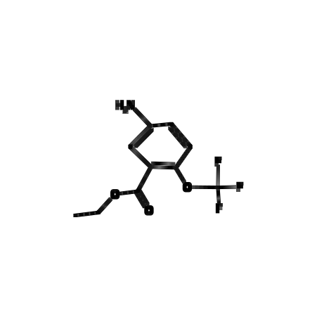 CCOC(=O)c1cc(N)ccc1OC(F)(F)F